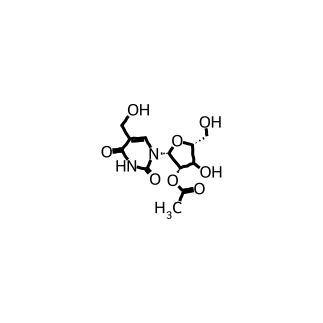 CC(=O)O[C@H]1C(O)[C@@H](CO)O[C@H]1n1cc(CO)c(=O)[nH]c1=O